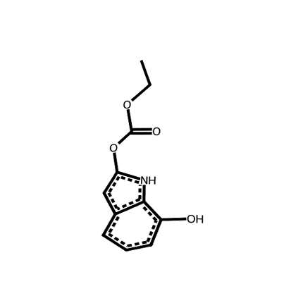 CCOC(=O)Oc1cc2cccc(O)c2[nH]1